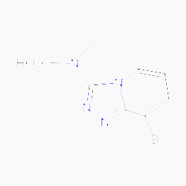 CN(C(=O)O)c1nnc2c(Br)cccn12